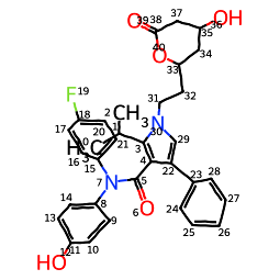 CC(C)c1c(C(=O)N(c2ccc(O)cc2)c2ccc(F)cc2)c(-c2ccccc2)cn1CCC1CC(O)CC(=O)O1